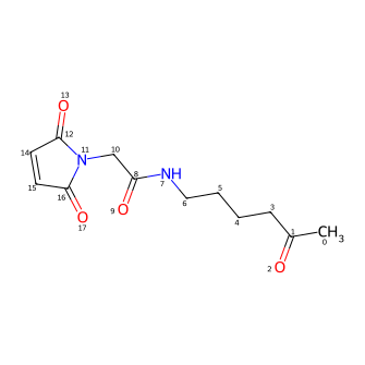 CC(=O)CCCCNC(=O)CN1C(=O)C=CC1=O